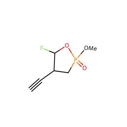 C#CC1CP(=O)(OC)OC1F